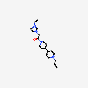 C=CC[n+]1ccc(-c2cc[n+](C(=O)C[n+]3ccn(C=C)c3)cc2)cc1